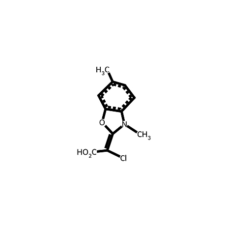 Cc1ccc2c(c1)OC(=C(Cl)C(=O)O)N2C